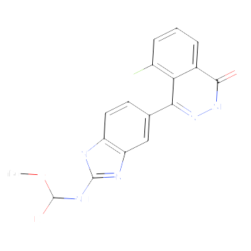 CCC(C)OC(O)Nc1nc2cc(-c3n[nH]c(=O)c4cccc(F)c34)ccc2[nH]1